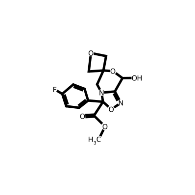 COC(=O)C1(c2ccc(F)cc2)ON=C2C(O)OC3(COC3)CN21